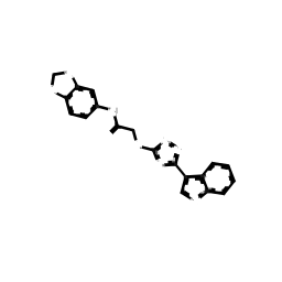 O=C(CSc1nnc(-c2c[nH]c3ccccc23)o1)Nc1ccc2c(c1)OCO2